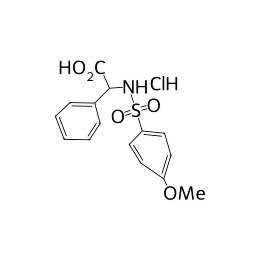 COc1ccc(S(=O)(=O)NC(C(=O)O)c2ccccc2)cc1.Cl